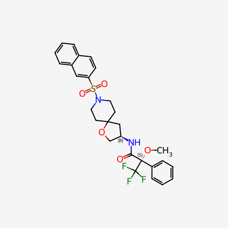 CO[C@](C(=O)N[C@H]1COC2(CCN(S(=O)(=O)c3ccc4ccccc4c3)CC2)C1)(c1ccccc1)C(F)(F)F